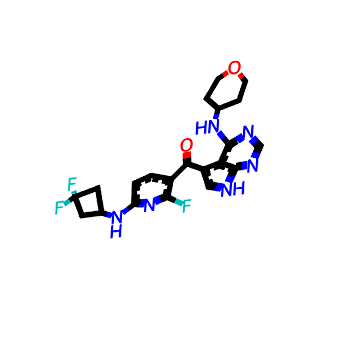 O=C(c1ccc(NC2CC(F)(F)C2)nc1F)c1c[nH]c2ncnc(NC3CCOCC3)c12